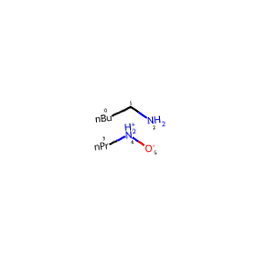 CCCCCN.CCC[NH2+][O-]